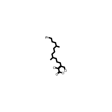 CC(C)CCCC(C)CCCC(C)CCCC(CCl)=C(Cl)C(=O)Cl